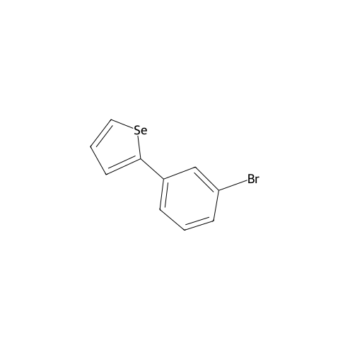 Brc1cccc(-c2ccc[se]2)c1